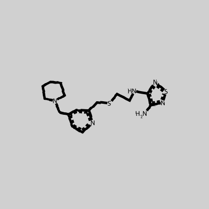 Nc1nsnc1NCCSCc1cc(CN2CCCCC2)ccn1